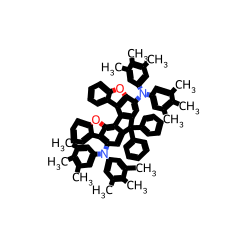 Cc1cc(N(c2cc(C)c(C)c(C)c2)c2cc3c(c4c2oc2ccccc24)-c2c(cc(N(c4cc(C)c(C)c(C)c4)c4cc(C)c(C)c(C)c4)c4c2oc2ccccc24)C3(c2ccccc2)c2ccccc2)cc(C)c1C